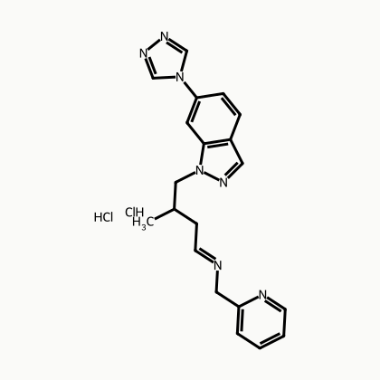 CC(CC=NCc1ccccn1)Cn1ncc2ccc(-n3cnnc3)cc21.Cl.Cl